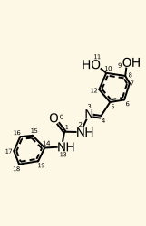 O=C(N/N=C/c1ccc(O)c(O)c1)Nc1ccccc1